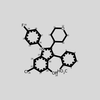 O=C(O)c1ccccc1-c1c(C2CCOCC2)n(-c2ccc(F)cc2)c2cc(Cl)cc(O)c12